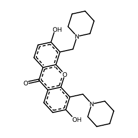 O=c1c2ccc(O)c(CN3CCCCC3)c2oc2c(CN3CCCCC3)c(O)ccc12